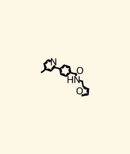 Cc1ccnc(-c2ccc(C(=O)NCc3ccco3)cc2)c1